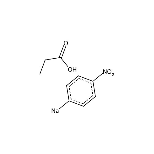 CCC(=O)O.O=[N+]([O-])c1cc[c]([Na])cc1